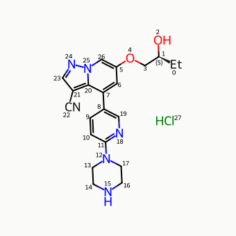 CC[C@H](O)COc1cc(-c2ccc(N3CCNCC3)nc2)c2c(C#N)cnn2c1.Cl